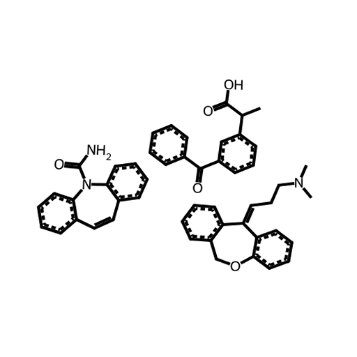 CC(C(=O)O)c1cccc(C(=O)c2ccccc2)c1.CN(C)CCC=C1c2ccccc2COc2ccccc21.NC(=O)N1c2ccccc2C=Cc2ccccc21